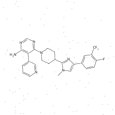 Cn1cc(-c2ccc(F)c(C(F)(F)F)c2)nc1C1CCN(c2ncnc(N)c2-c2cccnc2)CC1